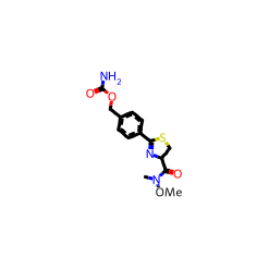 CON(C)C(=O)C1CSC(c2ccc(COC(N)=O)cc2)=N1